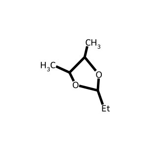 CCC1OC(C)C(C)O1